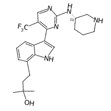 CC(C)(O)CCc1cccc2c(-c3nc(N[C@H]4CCCNC4)ncc3C(F)(F)F)c[nH]c12